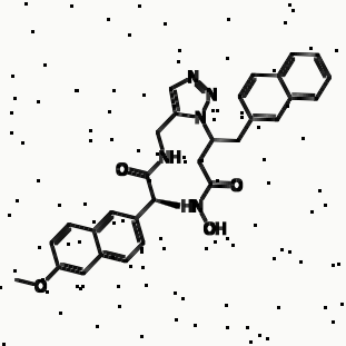 COc1ccc2cc([C@H](C)C(=O)NCc3cnnn3C(CC(=O)NO)Cc3ccc4ccccc4c3)ccc2c1